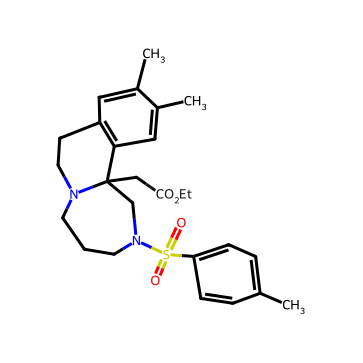 CCOC(=O)CC12CN(S(=O)(=O)c3ccc(C)cc3)CCCN1CCc1cc(C)c(C)cc12